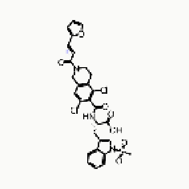 CS(=O)(=O)n1cc(C[C@H](NC(=O)c2c(Cl)cc3c(c2Cl)CCN(C(=O)/C=C/c2ccco2)C3)C(=O)O)c2ccccc21